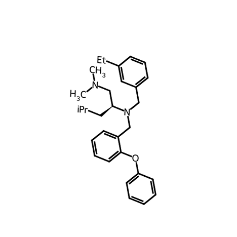 CCc1cccc(CN(Cc2ccccc2Oc2ccccc2)[C@@H](CC(C)C)CN(C)C)c1